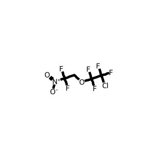 O=[N+]([O-])C(F)(F)COC(F)(F)C(F)(F)Cl